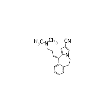 CN(C)CCC=C1c2ccccc2CCn2cc(C#N)cc21